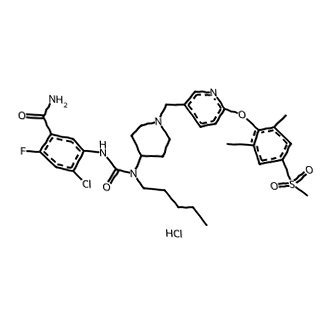 CCCCCN(C(=O)Nc1cc(C(N)=O)c(F)cc1Cl)C1CCN(Cc2ccc(Oc3c(C)cc(S(C)(=O)=O)cc3C)nc2)CC1.Cl